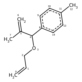 C=CCOC(C(=C)C)c1ccc(C)cc1